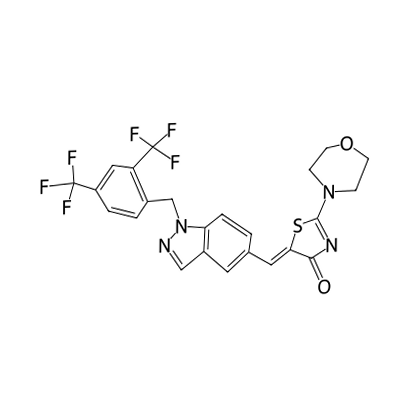 O=C1N=C(N2CCOCC2)S/C1=C\c1ccc2c(cnn2Cc2ccc(C(F)(F)F)cc2C(F)(F)F)c1